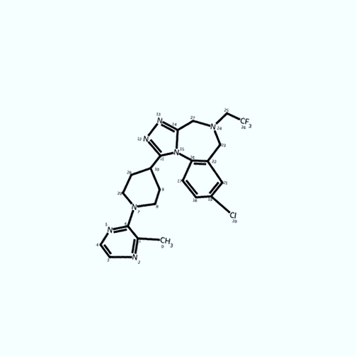 Cc1nccnc1N1CCC(c2nnc3n2-c2ccc(Cl)cc2CN(CC(F)(F)F)C3)CC1